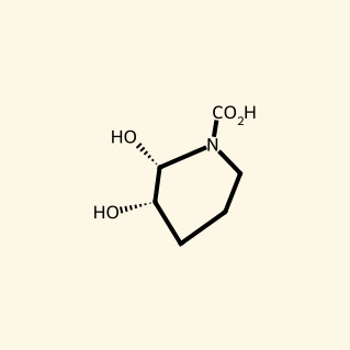 O=C(O)N1CCC[C@H](O)[C@@H]1O